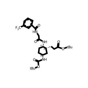 CC(C)(C)OC(=O)CC[C@@H]1C[C@H](NC(=O)OC(C)(C)C)CC[C@@H]1NC(=O)CNC(=O)c1cccc(C(F)(F)F)c1